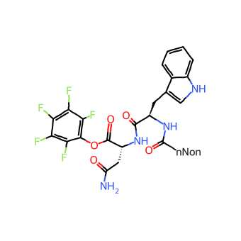 CCCCCCCCCC(=O)N[C@H](Cc1c[nH]c2ccccc12)C(=O)N[C@H](CC(N)=O)C(=O)Oc1c(F)c(F)c(F)c(F)c1F